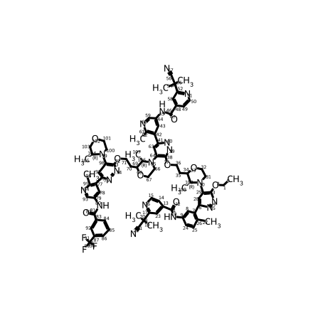 CCOc1nnc(-c2cc(NC(=O)c3ccnc(C(C)(C)C#N)c3)ccc2C)cc1N1CCOC(CCOc2nnc(-c3cc(NC(=O)c4ccnc(C(C)(C)C#N)c4)cnc3C)cc2N2CCOC(CCOc3nnc(-c4cc(NC(=O)c5cccc(C(F)(F)F)c5)cnc4C)cc3N3CCOC[C@H]3C)[C@H]2C)[C@H]1C